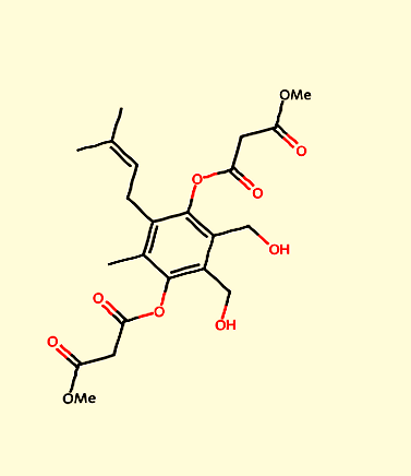 COC(=O)CC(=O)Oc1c(C)c(CC=C(C)C)c(OC(=O)CC(=O)OC)c(CO)c1CO